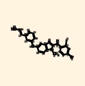 Cn1c(Nc2ccc(Br)cc2F)nc2cc(Oc3ccnc(C=NO)c3)ccc21